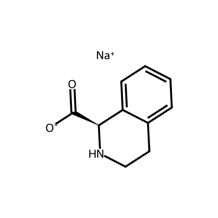 O=C([O-])[C@@H]1NCCc2ccccc21.[Na+]